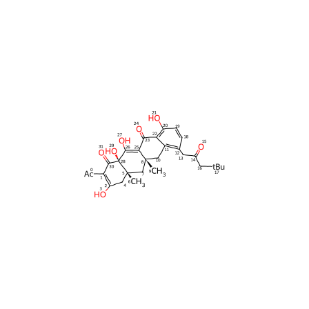 CC(=O)C1=C(O)C[C@@]2(C)C[C@@]3(C)Cc4c(CC(=O)CC(C)(C)C)ccc(O)c4C(=O)C3=C(O)[C@@]2(O)C1=O